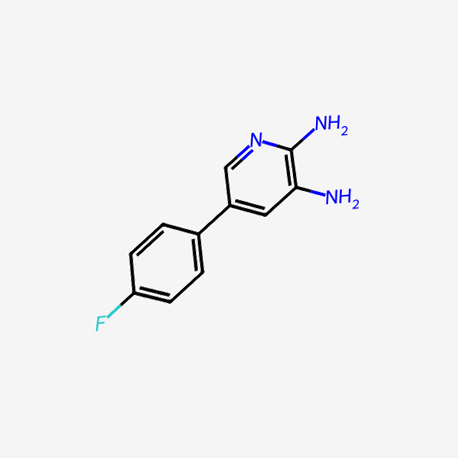 Nc1cc(-c2ccc(F)cc2)cnc1N